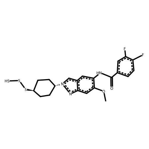 COc1cc2nn([C@H]3CC[C@H](SSS)CC3)cc2cc1NC(=O)c1ccc(F)c(F)c1